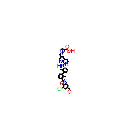 Cc1c(Nc2nccc3cc(CN4CCC(C(=O)O)C4)cnc23)cccc1-c1cccc(-c2nc3cc(C=O)cc(Cl)c3o2)c1C